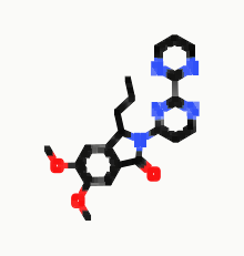 CCCC1c2cc(OC)c(OC)cc2C(=O)N1c1ccnc(-c2ncccn2)n1